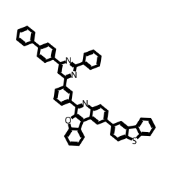 c1ccc(-c2ccc(-c3cc(-c4cccc(-c5nc6ccc(-c7ccc8sc9ccccc9c8c7)cc6c6c5oc5ccccc56)c4)nc(-c4ccccc4)n3)cc2)cc1